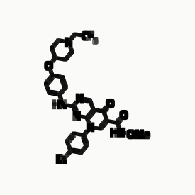 CCc1ccc(-n2cc(C(=O)NOC)c(=O)c3cnc(Nc4ccc(OC5CCN(CC(F)(F)F)CC5)cc4)nc32)cc1